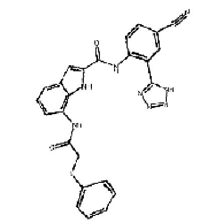 N#Cc1ccc(NC(=O)c2cc3cccc(NC(=O)CSc4ccccc4)c3[nH]2)c(-c2nnn[nH]2)c1